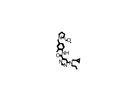 CCCN(CC1CC1)c1cc(C(=O)Nc2ccc(CN3CCC[C@@H]3COC)cc2C)ncn1